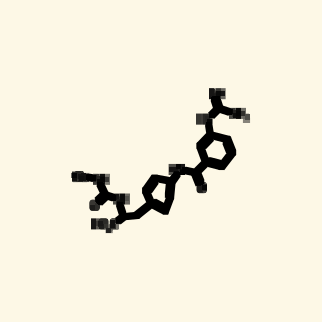 CC(C)(C)NC(=O)NC(Cc1ccc(NC(=O)c2cccc(NC(=N)N)c2)cc1)C(=O)O